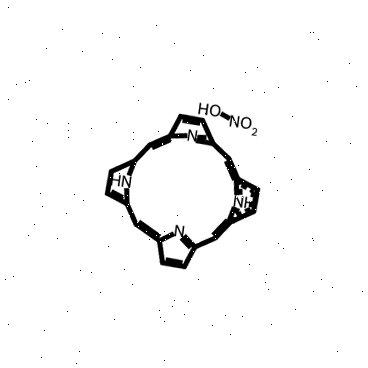 C1=CC2=NC1=CC1=CCC(C=C3C=CC(=N3)C=c3ccc([nH]3)=C2)N1.O=[N+]([O-])O